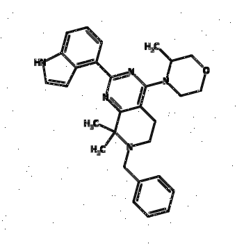 CC1COCCN1c1nc(-c2cccc3[nH]ccc23)nc2c1CCN(Cc1ccccc1)C2(C)C